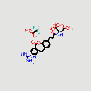 N=C(N)Nc1ccc2c(c1)CCc1ccc(CCC(=O)N[C@@H](CC(=O)O)C(=O)O)cc1OC2=O.O=C(O)C(F)(F)F